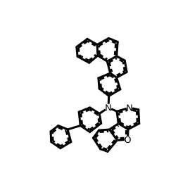 c1ccc(-c2ccc(N(c3ccc4c(ccc5ccc6ccccc6c54)c3)c3nccc4oc5ccccc5c34)cc2)cc1